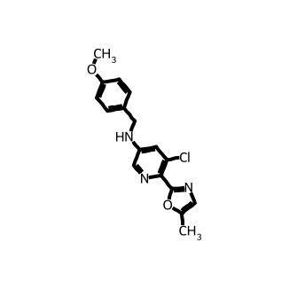 COc1ccc(CNc2cnc(-c3ncc(C)o3)c(Cl)c2)cc1